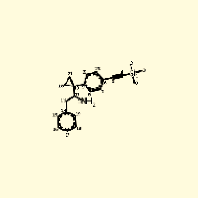 C[Si](C)(C)C#Cc1ccc(C2(C(N)Cc3ccccc3)CC2)cc1